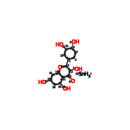 O=c1c(O)c(-c2ccc(O)c(O)c2)oc2cc(O)cc(O)c12.[SnH2]